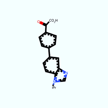 CC(C)n1cnc2cc(-c3ccc(C(=O)C(=O)O)cc3)ccc21